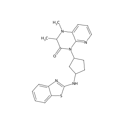 CC1C(=O)N(C2CCC(Nc3nc4ccccc4s3)C2)c2ncccc2N1C